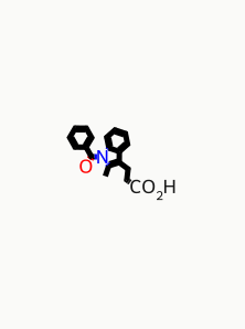 Cc1c(CCC(=O)O)c2ccccc2n1C(=O)c1ccccc1